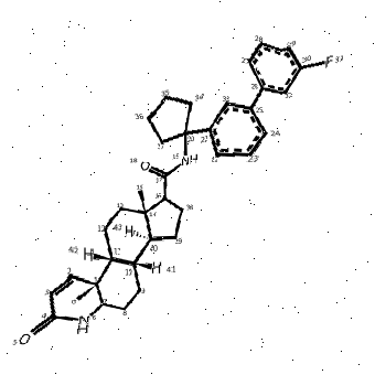 C[C@]12C=CC(=O)NC1CC[C@@H]1[C@H]2CC[C@]2(C)C(C(=O)NC3(c4cccc(-c5cccc(F)c5)c4)CCCC3)CC[C@@H]12